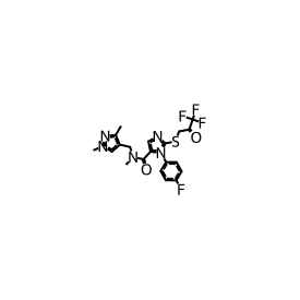 Cc1nn(C)cc1CN(C)C(=O)c1cnc(SCC(=O)C(F)(F)F)n1-c1ccc(F)cc1